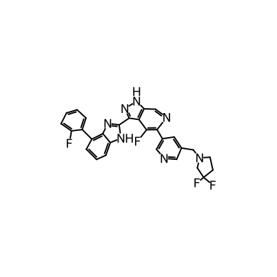 Fc1ccccc1-c1cccc2[nH]c(-c3n[nH]c4cnc(-c5cncc(CN6CCC(F)(F)C6)c5)c(F)c34)nc12